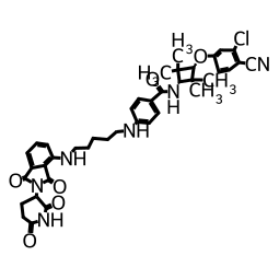 CC1(C)[C@H](NC(=O)c2ccc(NCCCCCNc3cccc4c3C(=O)N(C3CCC(=O)NC3=O)C4=O)cc2)C(C)(C)[C@H]1Oc1ccc(C#N)c(Cl)c1